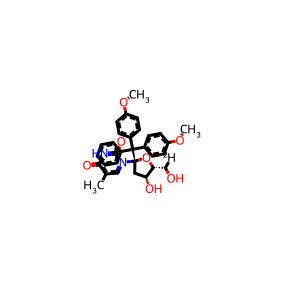 [2H]C(O)[C@H]1O[C@](n2cc(C)c(=O)[nH]c2=O)(C(c2ccccc2)(c2ccc(OC)cc2)c2ccc(OC)cc2)C[C@@H]1O